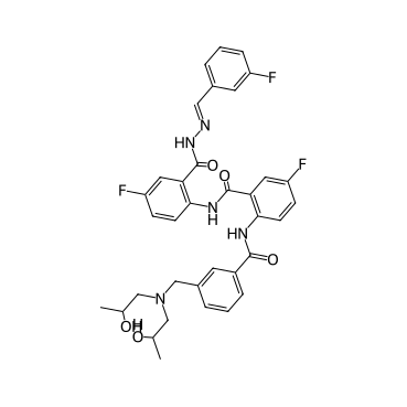 CC(O)CN(Cc1cccc(C(=O)Nc2ccc(F)cc2C(=O)Nc2ccc(F)cc2C(=O)N/N=C/c2cccc(F)c2)c1)CC(C)O